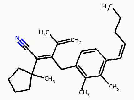 C=C(C)/C(Cc1ccc(/C=C\CCC)c(C)c1C)=C(\C#N)C1(C)CCCC1